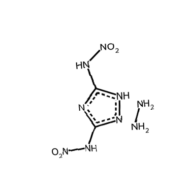 NN.O=[N+]([O-])Nc1n[nH]c(N[N+](=O)[O-])n1